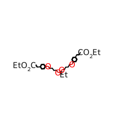 CCOC(=O)/C=C/c1ccc(OCCCCOC(CC)OCCCCOc2ccc(/C=C/C(=O)OCC)cc2)cc1